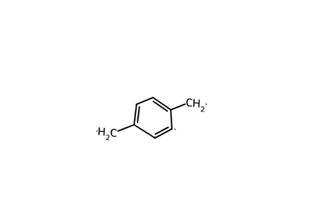 [CH2]c1[c]cc([CH2])cc1